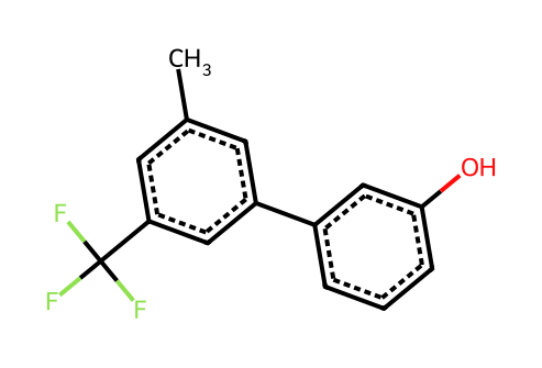 Cc1cc(-c2cccc(O)c2)cc(C(F)(F)F)c1